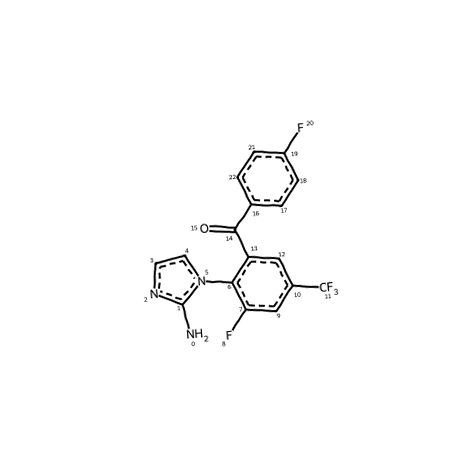 Nc1nccn1-c1c(F)cc(C(F)(F)F)cc1C(=O)c1ccc(F)cc1